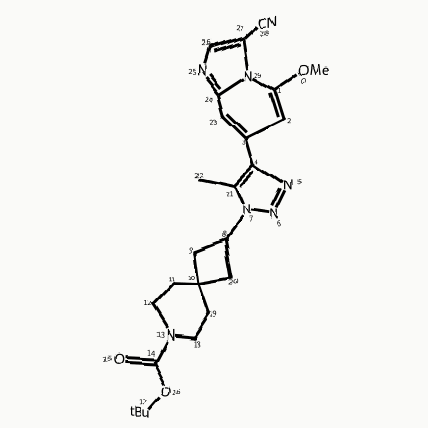 COc1cc(-c2nnn(C3CC4(CCN(C(=O)OC(C)(C)C)CC4)C3)c2C)cc2ncc(C#N)n12